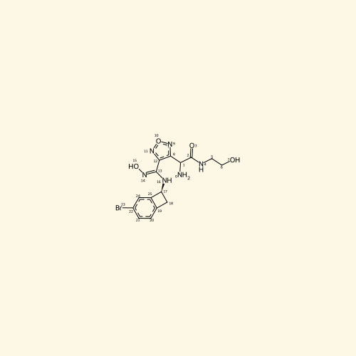 NC(C(=O)NCCO)c1nonc1/C(=N\O)N[C@H]1Cc2ccc(Br)cc21